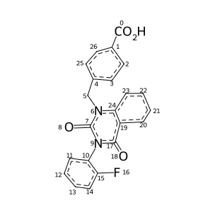 O=C(O)c1ccc(Cn2c(=O)n(-c3ccccc3F)c(=O)c3ccccc32)cc1